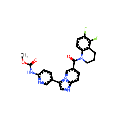 COC(=O)Nc1ccc(-c2cnc3ccc(C(=O)N4CCCc5c4ccc(F)c5F)cn23)cn1